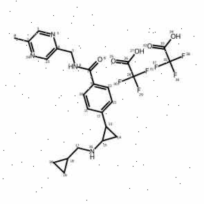 Cc1cnc(CNC(=O)c2ccc(C3CC3NCC3CC3)cc2)cn1.O=C(O)C(F)(F)F.O=C(O)C(F)(F)F